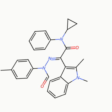 Cc1ccc(N(C=O)/N=C(/C(=O)N(c2ccccc2)C2CC2)c2c(C)n(C)c3ccccc23)cc1